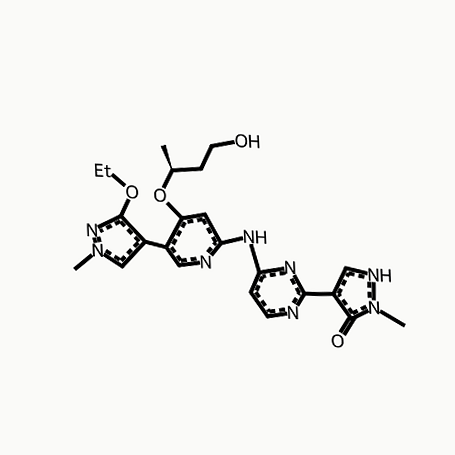 CCOc1nn(C)cc1-c1cnc(Nc2ccnc(-c3c[nH]n(C)c3=O)n2)cc1O[C@@H](C)CCO